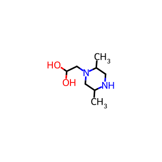 CC1CN(CC(O)O)C(C)CN1